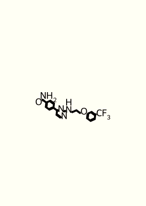 NC(=O)c1ccc(-c2ccnc(NCCCOc3cccc(C(F)(F)F)c3)n2)cc1